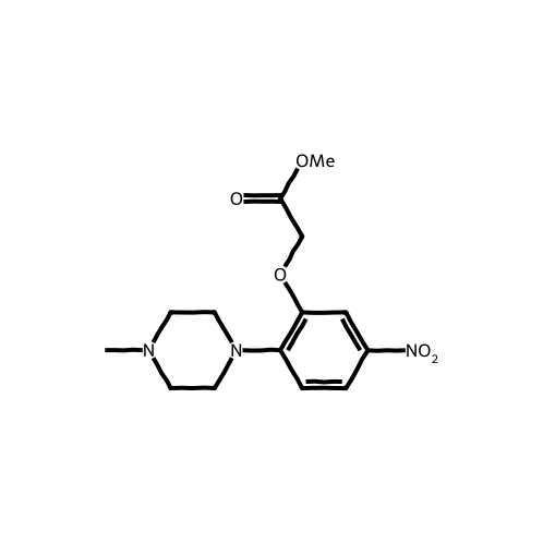 COC(=O)COc1cc([N+](=O)[O-])ccc1N1CCN(C)CC1